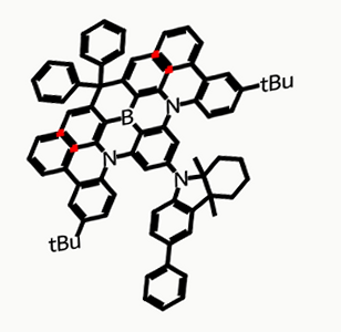 CC(C)(C)c1ccc(N2c3cc(N4c5ccc(-c6ccccc6)cc5C5(C)CCCCC45C)cc4c3B3c5c2cccc5C(c2ccccc2)(c2ccccc2)c2cccc(c23)N4c2ccc(C(C)(C)C)cc2-c2ccccc2)c(-c2ccccc2)c1